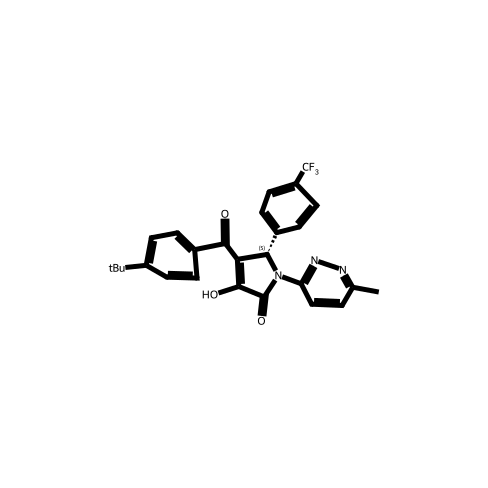 Cc1ccc(N2C(=O)C(O)=C(C(=O)c3ccc(C(C)(C)C)cc3)[C@@H]2c2ccc(C(F)(F)F)cc2)nn1